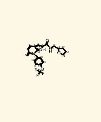 C=C1C=Cc2cc(C(=O)NCC3CCCO3)[nH]c2N1c1ccc(OC(F)(F)F)cc1